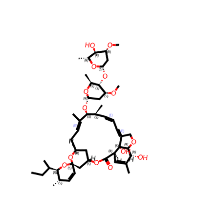 CCC(C)[C@H]1O[C@]2(C=C[C@@H]1C)C[C@@H]1C[C@@H](C/C=C(\C)[C@@H](O[C@H]3C[C@H](OC)[C@@H](O[C@H]4C[C@@H](OC)[C@H](O)[C@@H](C)O4)[C@H](C)O3)[C@@H](C)/C=C/C=C3\CO[C@@H]4[C@H](O)C(C)=C[C@@H](C(=O)O1)[C@]34O)O2